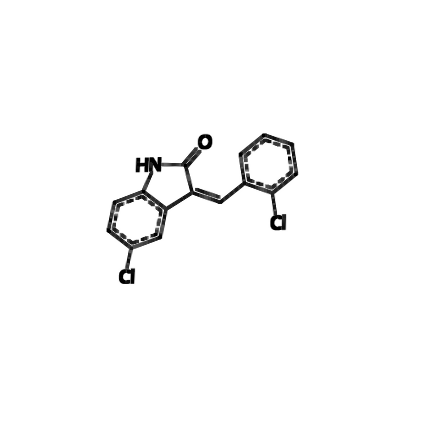 O=C1Nc2ccc(Cl)cc2C1=Cc1ccccc1Cl